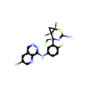 NC1=N[C@](CF)(c2cc(Nc3nncc4cc(Cl)cnc34)ccc2F)[C@@H]2C[C@@H]2S1